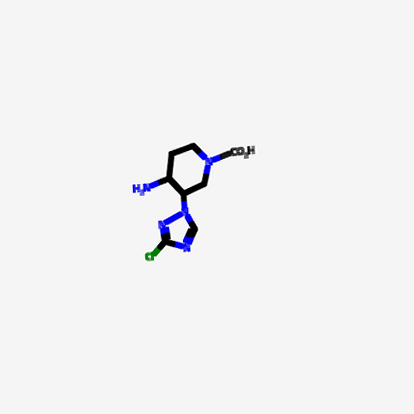 NC1CCN(C(=O)O)CC1n1cnc(Cl)n1